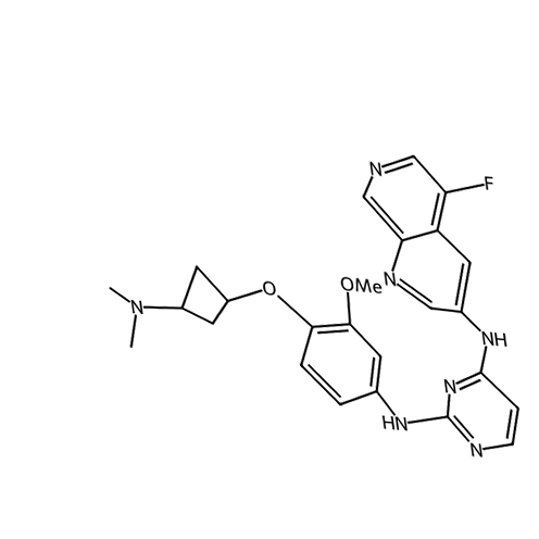 COc1cc(Nc2nccc(Nc3cnc4cncc(F)c4c3)n2)ccc1OC1CC(N(C)C)C1